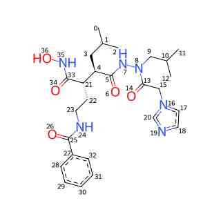 CC(C)C[C@@H](C(=O)NN(CC(C)C)C(=O)Cn1ccnc1)[C@H](CCNC(=O)c1ccccc1)C(=O)NO